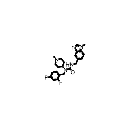 CN1CCC(N(Cc2ccc(F)cc2F)C(=O)NCc2ccc3c(c2)ncn3C)CC1